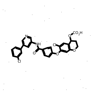 O=C(O)OC1CCOc2cc(Oc3ccc(C(=O)Nc4cncc(-c5cccc(Cl)c5)c4)cc3)c(Cl)cc21